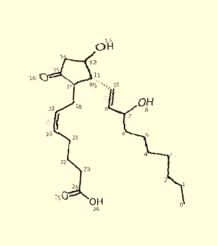 CCCCCCCC(O)/C=C/[C@H]1C(O)CC(=O)C1C/C=C\CCCC(=O)O